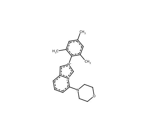 Cc1cc(C)c(-[n+]2cc3cccc(N4CCOCC4)n3c2)c(C)c1